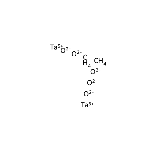 C.C.[O-2].[O-2].[O-2].[O-2].[O-2].[Ta+5].[Ta+5]